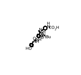 CC(C)(C)NS(=O)(=O)c1cc(NC(=O)NCc2ccc(O)cc2)ccc1-c1cnc(C2CCC(NC(=O)O)CC2)s1